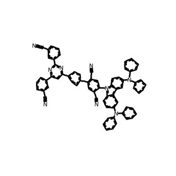 N#Cc1cccc(-c2cc(-c3ccc(-c4cc(C#N)c(-n5c6ccc(N(c7ccccc7)c7ccccc7)cc6c6cc(N(c7ccccc7)c7ccccc7)ccc65)cc4C#N)cc3)nc(-c3cccc(C#N)c3)n2)c1